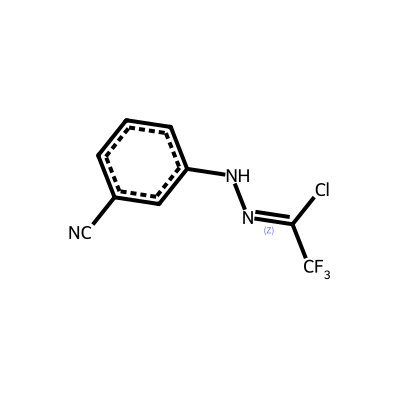 N#Cc1cccc(N/N=C(\Cl)C(F)(F)F)c1